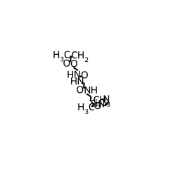 C=C(C)C(=O)OCCNC(=O)NCC(=O)NCCC[Si](C)(C)On1ccnc1